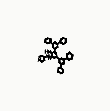 N=C1C(c2cc(-c3ccccc3)cc(-c3ccccc3)c2)=CC(c2cc(-c3ccccc3)cc(-c3ccccc3)c2)=C/C1=N/Nc1ccncc1